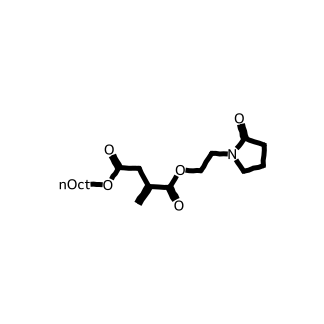 C=C(CC(=O)OCCCCCCCC)C(=O)OCCN1CCCC1=O